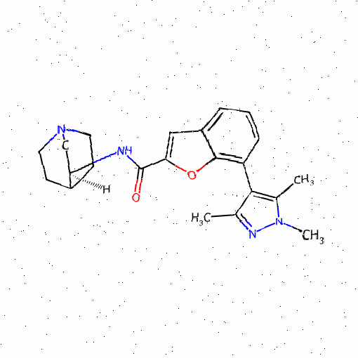 Cc1nn(C)c(C)c1-c1cccc2cc(C(=O)N[C@@H]3CN4CCC3CC4)oc12